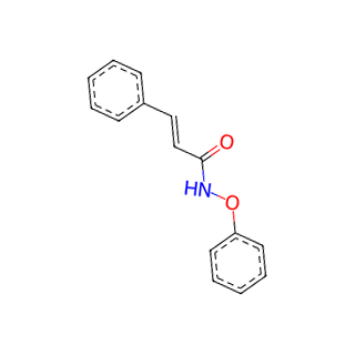 O=C(C=Cc1ccccc1)NOc1ccccc1